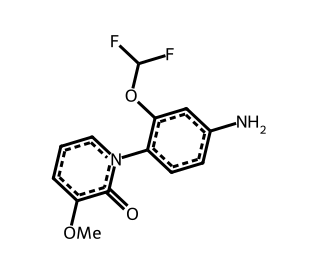 COc1cccn(-c2ccc(N)cc2OC(F)F)c1=O